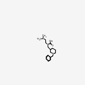 CN(C)CCN(CC1CCCN(Cc2ccccc2)C1)C(=O)O